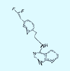 FC(F)=Cc1ccc(CCNc2ncnc3ccccc23)cc1